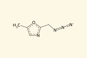 Cc1cnc(CN=[N+]=[N-])o1